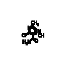 C#N.Cc1ccc(C(N)=O)c(Cl)n1